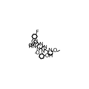 CCOC1=NC(c2nc3nc(Cl)c(NS(=O)(=O)Cc4ccc(F)cc4)nc3n2-c2c(O)cccc2OC)=C=C=C1